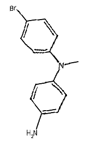 CN(c1ccc(N)cc1)c1ccc(Br)cc1